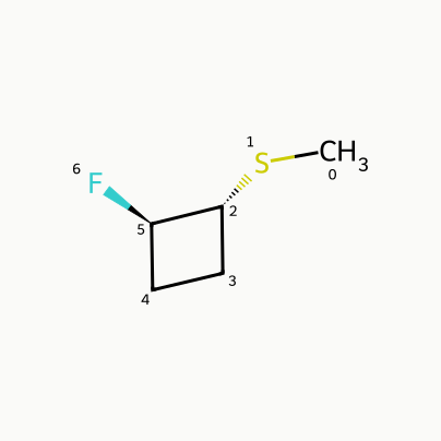 CS[C@@H]1CC[C@H]1F